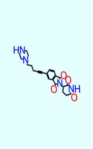 O=C1CCC(N2C(=O)c3ccc(C#CCCCN4CCNCC4)cc3C2=O)C(=O)N1